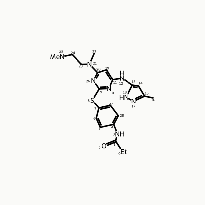 CCC(=O)Nc1ccc(Sc2nc(Nc3cc(C)n[nH]3)cc(N(C)CCNC)n2)cc1